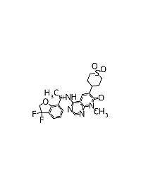 C[C@@H](Nc1ncnc2c1cc(C1CCS(=O)(=O)CC1)c(=O)n2C)c1cccc2c1OCC2(F)F